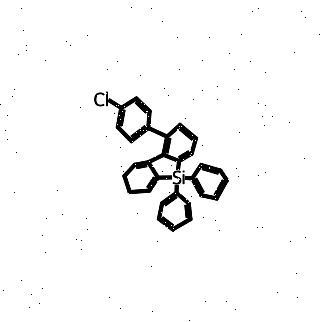 Clc1ccc(-c2cccc3c2C2=CCCC=C2[Si]3(c2ccccc2)c2ccccc2)cc1